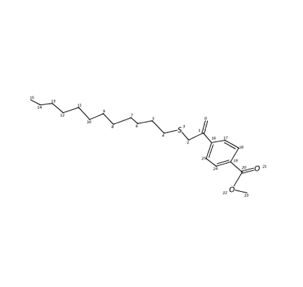 C=C(CSCCCCCCCCCCCC)c1ccc(C(=O)OC)cc1